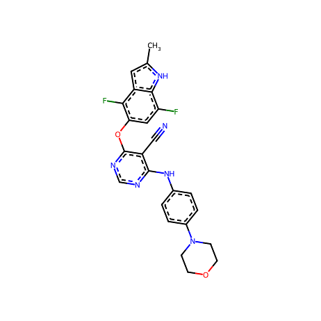 Cc1cc2c(F)c(Oc3ncnc(Nc4ccc(N5CCOCC5)cc4)c3C#N)cc(F)c2[nH]1